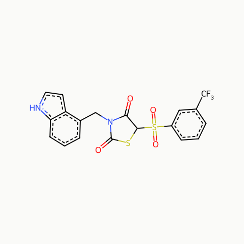 O=C1SC(S(=O)(=O)c2cccc(C(F)(F)F)c2)C(=O)N1Cc1cccc2[nH]ccc12